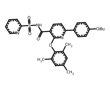 Cc1cc(C)c(Oc2nc(-c3ccc(OCC(C)C)cc3)ccc2C(=O)NS(=O)(=O)c2ccccn2)c(C)c1